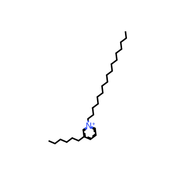 CCCCCCCCCCCCCCCCC[n+]1cccc(CCCCCC)c1